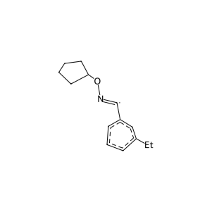 CCc1cccc(/[C]=N/OC2CCCC2)c1